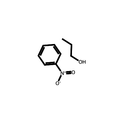 CCCO.O=[N+]([O-])c1ccccc1